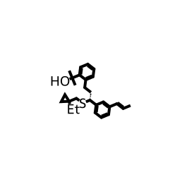 C/C=C/c1cccc([C@@H](CCc2ccccc2C(C)(C)O)SCC2(CC)CC2)c1